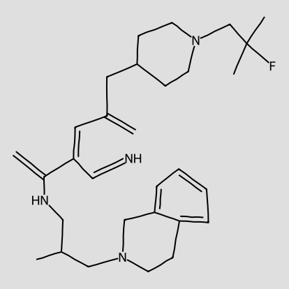 C=C(/C=C(\C=N)C(=C)NCC(C)CN1CCc2ccccc2C1)CC1CCN(CC(C)(C)F)CC1